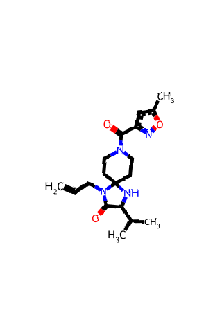 C=CCN1C(=O)C(C(C)C)NC12CCN(C(=O)c1cc(C)on1)CC2